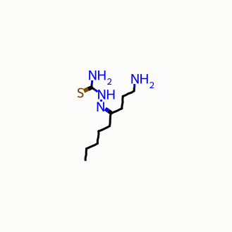 CCCCCC(CCCN)=NNC(N)=S